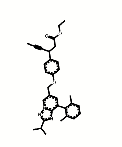 CC#CC(CC(=O)OCC)c1ccc(OCc2cc(-c3c(C)cccc3C)c3nc(C(C)C)nn3c2)cc1